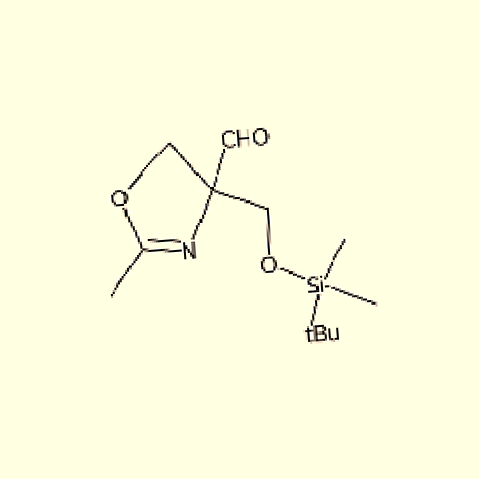 CC1=NC(C=O)(CO[Si](C)(C)C(C)(C)C)CO1